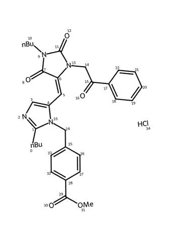 CCCCc1ncc(C=C2C(=O)N(CCCC)C(=O)N2CC(=O)c2ccccc2)n1Cc1ccc(C(=O)OC)cc1.Cl